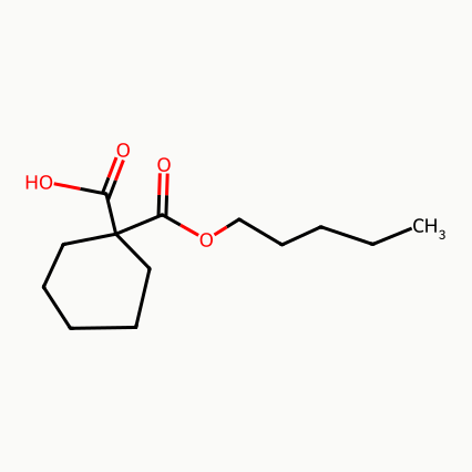 CCCCCOC(=O)C1(C(=O)O)CCCCC1